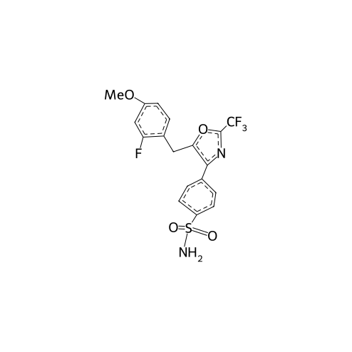 COc1ccc(Cc2oc(C(F)(F)F)nc2-c2ccc(S(N)(=O)=O)cc2)c(F)c1